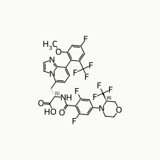 COc1cc(F)cc(C(F)(F)F)c1-c1ccc(C[C@H](NC(=O)c2c(F)cc(N3CCOC[C@@H]3C(F)(F)F)cc2F)C(=O)O)n2ccnc12